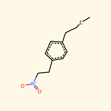 CCCCc1ccc(CC[N+](=O)[O-])cc1